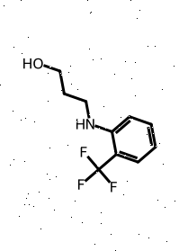 OCCCNc1ccccc1C(F)(F)F